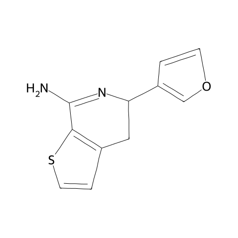 NC1=NC(c2ccoc2)Cc2ccsc21